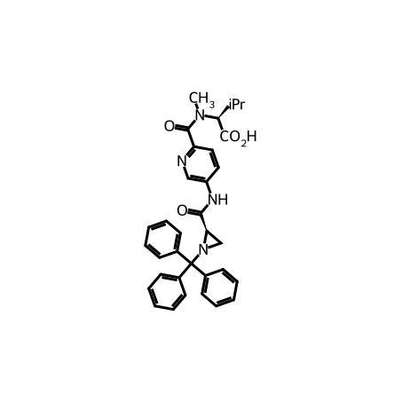 CC(C)[C@@H](C(=O)O)N(C)C(=O)c1ccc(NC(=O)[C@H]2CN2C(c2ccccc2)(c2ccccc2)c2ccccc2)cn1